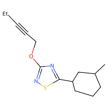 CCC#CCOc1nsc(C2CCCC(C)C2)n1